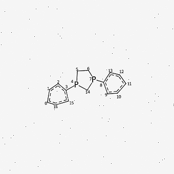 c1ccc(P2CCP(c3ccccc3)C2)cc1